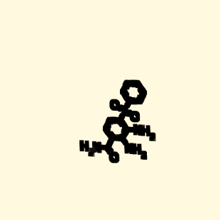 NC(=O)c1ccc(S(=O)(=O)c2ccccc2)c(N)c1N